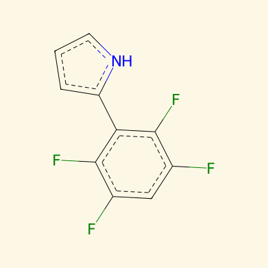 Fc1cc(F)c(F)c(-c2ccc[nH]2)c1F